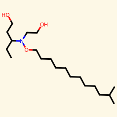 CCC(CCO)N(CCO)OCCCCCCCCCCC(C)C